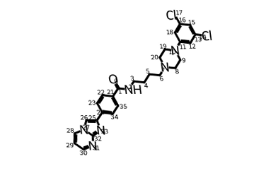 O=C(NCCCCN1CCN(c2cc(Cl)cc(Cl)c2)CC1)c1ccc(-c2cn3cccnc3n2)cc1